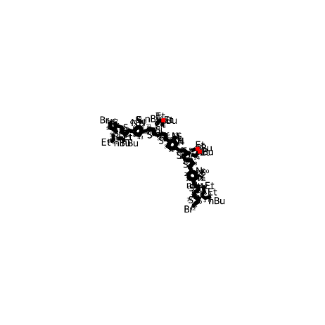 CCCCC(CC)C[Si]1(CC(CC)CCCC)c2cc(Br)sc2-c2sc(-c3ccc(-c4cc5c(s4)-c4sc(-c6ccc(-c7cc8c(s7)-c7sc(-c9ccc(-c%10cc%11c(s%10)-c%10sc(Br)cc%10[Si]%11(CC(CC)CCCC)CC(CC)CCCC)c%10nsnc9%10)cc7[Si]8(CC(CC)CCCC)CC(CC)CCCC)c7nsnc67)cc4[Si]5(CC(CC)CCCC)CC(CC)CCCC)c4nsnc34)cc21